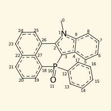 Cn1c2c(c3ccccc31)P(=O)(c1ccccc1)c1cccc3cccc-2c13